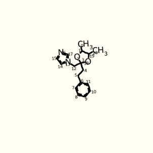 CC1OC(CCc2ccccc2)(Cn2ccnc2)OC1C